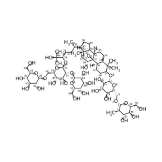 C[C@H]1[C@H](OC[C@H]2O[C@@H](O[C@H]3CC[C@@H]4C(=CC[C@@H]5[C@@]4(C)[C@H](O)C[C@]4(C)[C@@H]([C@H](C)CC[C@@H](O[C@@H]6O[C@H](CO[C@@H]7O[C@H](CO)[C@@H](O)[C@H](O)[C@H]7O)[C@@H](O)[C@H](O)[C@H]6O[C@@H]6O[C@H](CO)[C@@H](O)[C@H](O)[C@H]6O)C(C)(C)O)CC[C@@]54C)C3(C)C)[C@H](O)[C@@H](O)[C@@H]2O)O[C@@H](CO)[C@@H](O)[C@@H]1O